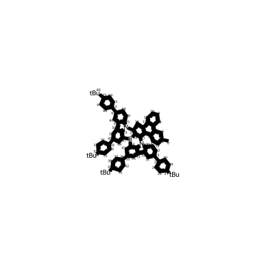 Cc1ccc2c(c1)c1ccccc1c1cc3c4c(c21)-n1c2ccc(-c5ccc(C(C)(C)C)cc5)cc2c2cc(-c5ccc(C(C)(C)C)cc5)cc(c21)B4c1cc(-c2ccc(C(C)(C)C)cc2)cc2c4cc(-c5ccc(C(C)(C)C)cc5)ccc4n-3c12